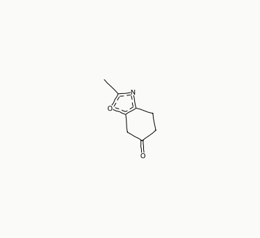 Cc1nc2c(o1)CC(=O)CC2